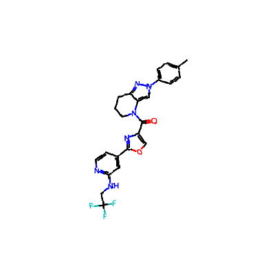 Cc1ccc(-n2cc3c(n2)CCCN3C(=O)c2coc(-c3ccnc(NCC(F)(F)F)c3)n2)cc1